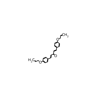 C=CCOc1ccc(C=CC(=O)C=Cc2ccc(OCC=C)cc2)cc1